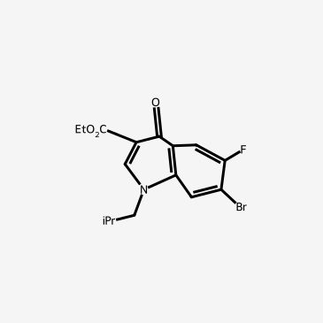 CCOC(=O)c1cn(CC(C)C)c2cc(Br)c(F)cc2c1=O